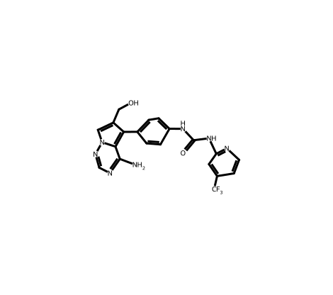 Nc1ncnn2cc(CO)c(-c3ccc(NC(=O)Nc4cc(C(F)(F)F)ccn4)cc3)c12